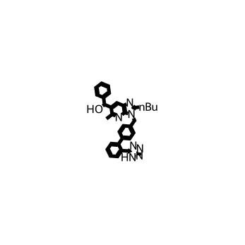 CCCCc1nc2cc(C(O)c3ccccc3)c(C)nc2n1Cc1ccc(-c2ccccc2-c2nnn[nH]2)cc1